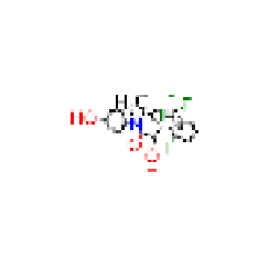 CC(C)N(C(=O)C(CO)Cc1c(F)cccc1C(F)(F)F)c1ccc(O)cc1